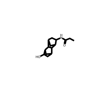 CCC(=O)NC1CC2CC1C1C3CC(O)C(C3)C21